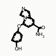 NC(=O)c1cc(Oc2ccc(O)cc2)n2cncc2c1